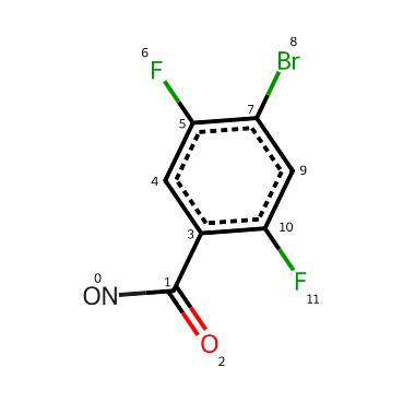 O=NC(=O)c1cc(F)c(Br)cc1F